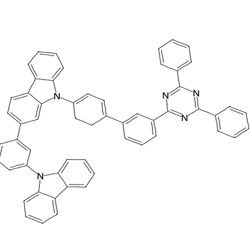 C1=C(c2cccc(-c3nc(-c4ccccc4)nc(-c4ccccc4)n3)c2)CCC(n2c3ccccc3c3ccc(-c4cccc(-n5c6ccccc6c6ccccc65)c4)cc32)=C1